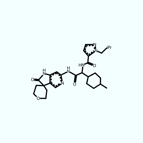 CC(C)Cn1nccc1C(=O)NC(C(=O)Nc1cc2c(cn1)C1(CCOCC1)C(=O)N2)C1CCC(C)CC1